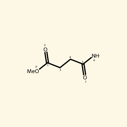 COC(=O)CCC([NH])=O